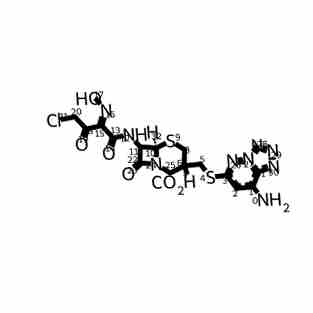 Nc1cc(SCC2(C(=O)O)CS[C@@H]3C(NC(=O)C(=NO)C(=O)CCl)C(=O)N3C2)nn2nnnc12